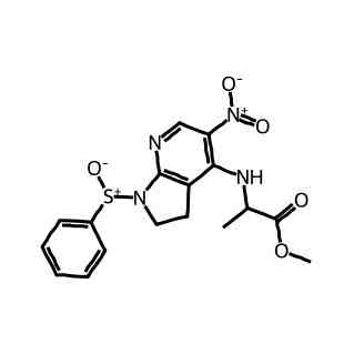 COC(=O)C(C)Nc1c([N+](=O)[O-])cnc2c1CCN2[S+]([O-])c1ccccc1